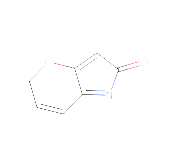 O=C1C=C2OCC=CC2=N1